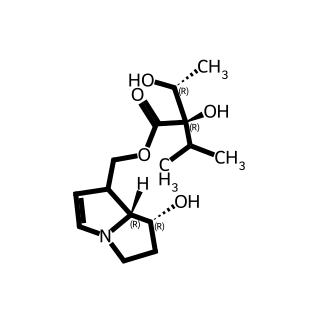 CC(C)[C@](O)(C(=O)OCC1C=CN2CC[C@@H](O)[C@@H]12)[C@@H](C)O